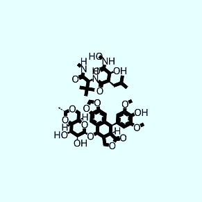 CNC(=O)[C@@H](NC(=O)[C@H](CC(C)C)[C@H](O)C(=O)NO)C(C)(C)C.COc1cc([C@@H]2c3cc4c(cc3C(O[C@@H]3O[C@@H]5CO[C@@H](C)O[C@H]5[C@H](O)[C@H]3O)C3COC(=O)[C@@H]32)OCO4)cc(OC)c1O